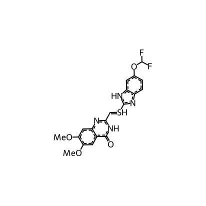 COc1cc2nc(C=[SH]c3nc4ccc(OC(F)F)cc4[nH]3)[nH]c(=O)c2cc1OC